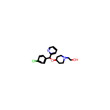 OCCN1CCC(OC(c2ccc(Cl)cc2)c2ccccn2)CC1